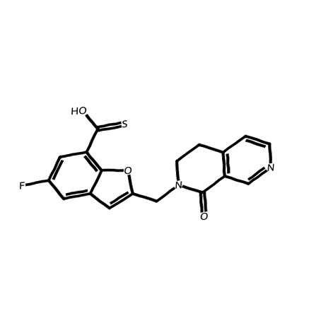 O=C1c2cnccc2CCN1Cc1cc2cc(F)cc(C(O)=S)c2o1